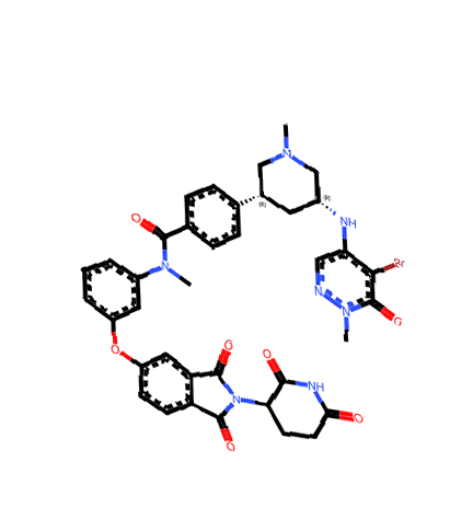 CN1C[C@H](Nc2cnn(C)c(=O)c2Br)C[C@H](c2ccc(C(=O)N(C)c3cccc(Oc4ccc5c(c4)C(=O)N(C4CCC(=O)NC4=O)C5=O)c3)cc2)C1